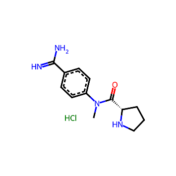 CN(C(=O)[C@@H]1CCCN1)c1ccc(C(=N)N)cc1.Cl